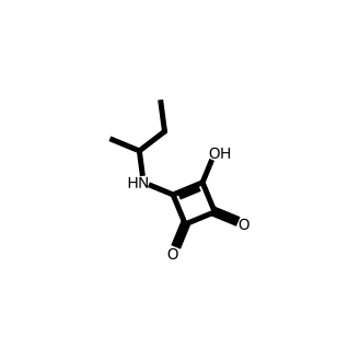 CCC(C)Nc1c(O)c(=O)c1=O